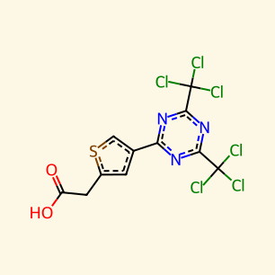 O=C(O)Cc1cc(-c2nc(C(Cl)(Cl)Cl)nc(C(Cl)(Cl)Cl)n2)cs1